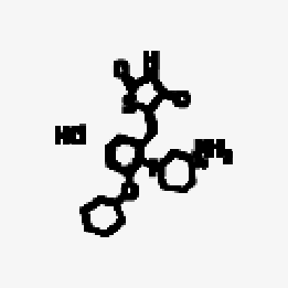 Cl.N[C@@H]1CCCN(c2c(C=C3SC(=O)NC3=O)cccc2OC2CCCCC2)C1